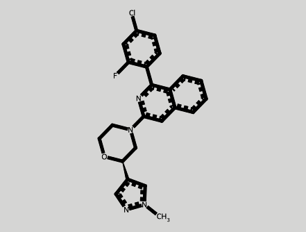 Cn1cc([C@@H]2CN(c3cc4ccccc4c(-c4ccc(Cl)cc4F)n3)CCO2)cn1